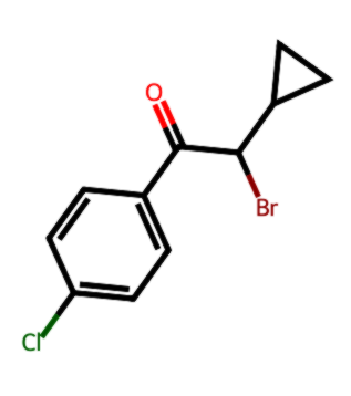 O=C(c1ccc(Cl)cc1)C(Br)C1CC1